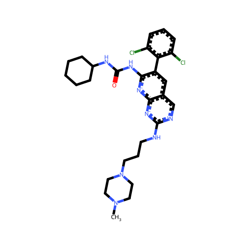 CN1CCN(CCCNc2ncc3cc(-c4c(Cl)cccc4Cl)c(NC(=O)NC4CCCCC4)nc3n2)CC1